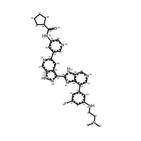 CN(C)CCNc1cc(F)cc(-c2cncc3[nH]c(-c4n[nH]c5cnc(-c6cncc(NC(=O)C7CCCC7)c6)cc45)nc23)c1